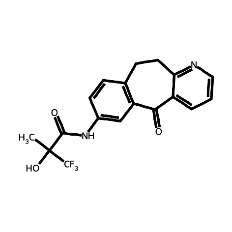 CC(O)(C(=O)Nc1ccc2c(c1)C(=O)c1cccnc1CC2)C(F)(F)F